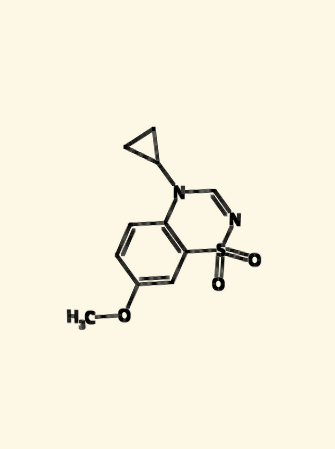 COc1ccc2c(c1)S(=O)(=O)N=CN2C1CC1